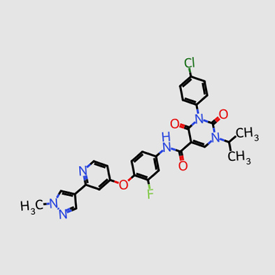 CC(C)n1cc(C(=O)Nc2ccc(Oc3ccnc(-c4cnn(C)c4)c3)c(F)c2)c(=O)n(-c2ccc(Cl)cc2)c1=O